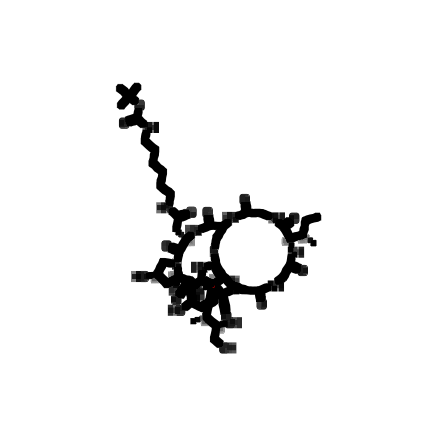 CC[C@H](C)[C@@H]1NC(=O)CNC(=O)C2Cc3c([nH]c4cc(O)ccc34)SCC(NC(=O)CNC1=O)C(=O)N[C@@H](CC(=O)NCCCCCCNC(=O)OC(C)(C)C)C(=O)N1C[C@H](O)C[C@H]1C(=O)N[C@@H]([C@@H](C)[C@@H](O)CO)C(=O)N2